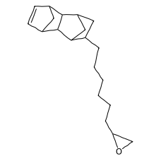 C1=CC2CC1C1C3CC(CCCCCCC4CO4)C(C3)C21